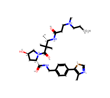 Cc1ncsc1-c1ccc(CNC(=O)[C@@H]2C[C@@H](O)CN2C(=O)C(C)(C)[C@H](C)NC(=O)CCN(C)CCC(=O)O)cc1